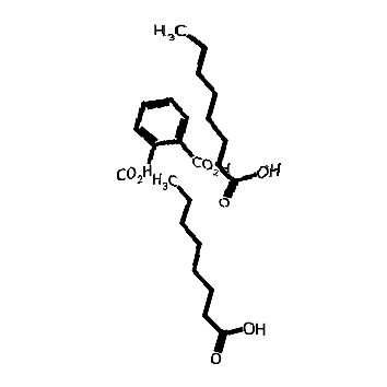 CCCCCCCC(=O)O.CCCCCCCC(=O)O.O=C(O)c1ccccc1C(=O)O